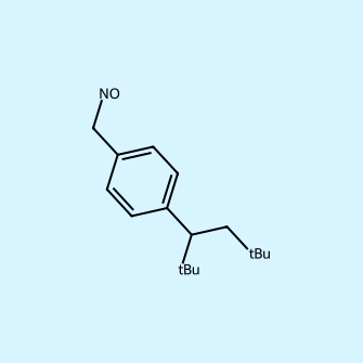 CC(C)(C)CC(c1ccc(CN=O)cc1)C(C)(C)C